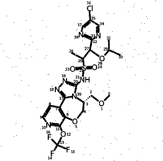 COC[C@@H]1COc2c(ccnc2OC(F)(F)F)-c2nnc(NS(=O)(=O)C(C)C(OC(C)C)c3ncc(Cl)cn3)n21